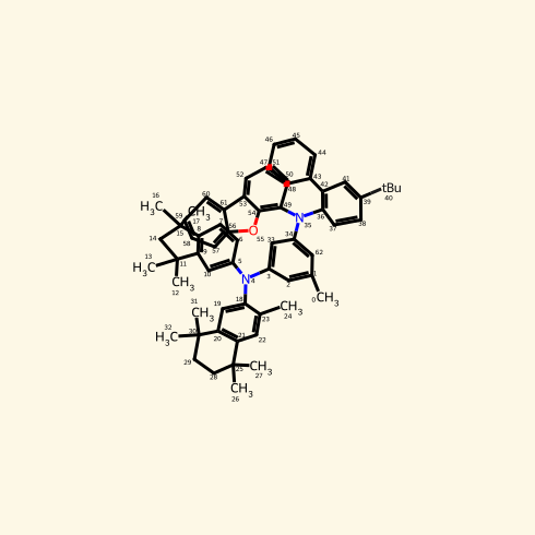 Cc1cc(N(c2ccc3c(c2)C(C)(C)CC3(C)C)c2cc3c(cc2C)C(C)(C)CCC3(C)C)cc(N(c2ccc(C(C)(C)C)cc2-c2ccccc2)c2cccc3c2oc2ccccc23)c1